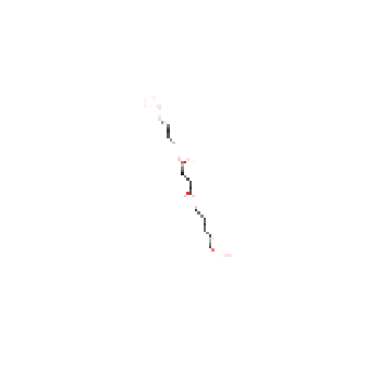 O=C(CCC(=O)OCCCCCO)OCCCCCO